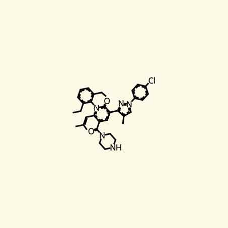 CCc1cccc(CC)c1-n1c(C=C(C)C)c(C(=O)N2CCNCC2)cc(-c2nn(-c3ccc(Cl)cc3)cc2C)c1=O